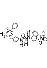 CCN1C(=O)c2cccc3c(NNC(=O)Nc4ccc(CC(C)SC(=S)c5ccccc5)cc4)ccc(c23)C1=O